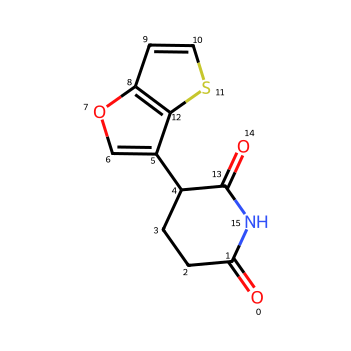 O=C1CCC(c2coc3ccsc23)C(=O)N1